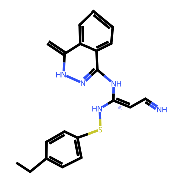 C=C1NN=C(N/C(=C\C=N)NSc2ccc(CC)cc2)c2ccccc21